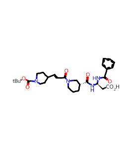 CC(C)(C)OC(=O)N1CCC(/C=C/C(=O)N2CCC[C@@H](C(=O)N[C@H](CC(=O)O)NC(=O)c3ccccc3)C2)CC1